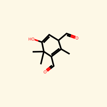 CC1=C(C=O)C(C)(C)C(O)=CC1C=O